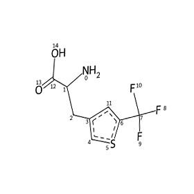 NC(Cc1csc(C(F)(F)F)c1)C(=O)O